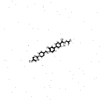 CCc1cnc(N2CCC(COc3ccc(C4=CCC(C(=O)NCC(F)F)CC4)cc3F)CC2)nc1